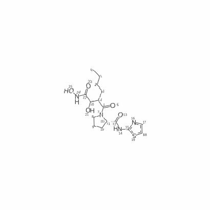 CCCCC(C(=O)N1CCC[C@H]1C(=O)Nc1nccs1)C(O)C(=O)NO